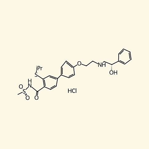 CC(C)Sc1cc(-c2ccc(OCCNC[C@@H](O)c3ccccc3)cc2)ccc1C(=O)NS(C)(=O)=O.Cl